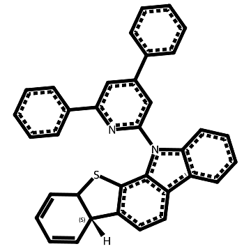 C1=CC2Sc3c(ccc4c5ccccc5n(-c5cc(-c6ccccc6)cc(-c6ccccc6)n5)c34)[C@@H]2C=C1